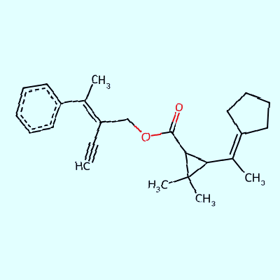 C#C/C(COC(=O)C1C(C(C)=C2CCCC2)C1(C)C)=C(/C)c1ccccc1